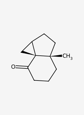 C[C@@]12CCCC(=O)[C@@]13CC3CC2